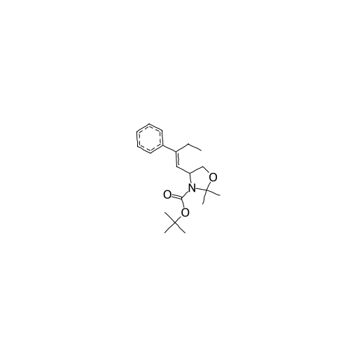 CCC(=CC1COC(C)(C)N1C(=O)OC(C)(C)C)c1ccccc1